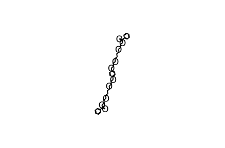 O=C(OCCOCCCCOCCOc1ccc(OCCOCCCCOCCOC(=O)c2ccccc2)cc1)c1ccccc1